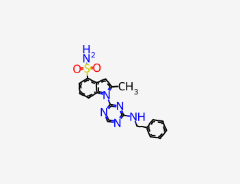 Cc1cc2c(S(N)(=O)=O)cccc2n1-c1ncnc(NCc2ccccc2)n1